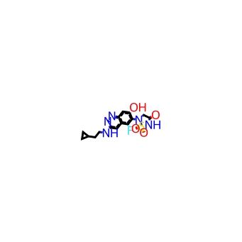 O=C1CN(c2c(O)cc3nnc(NCCC4CC4)cc3c2F)S(=O)(=O)N1